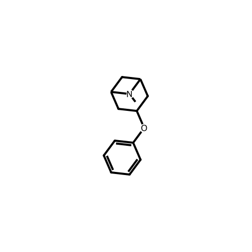 CN1C2CC(Oc3ccccc3)CC1C2